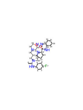 C=C(Nc1ccc(F)cc1)N(CCCN1CCOCC1)Cc1ccc(C(=O)Nc2ccccc2N)nc1